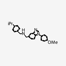 COc1ccc(-n2cnc3cc(CNCc4ccc(C(C)C)cc4)ccc32)cc1